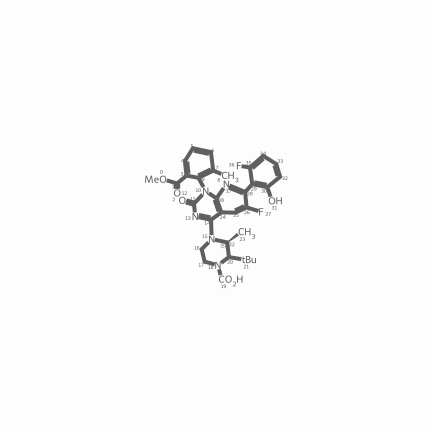 COC(=O)c1cccc(C)c1-n1c(=O)nc(N2CCN(C(=O)O)C(C(C)(C)C)[C@@H]2C)c2cc(F)c(-c3c(O)cccc3F)nc21